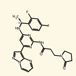 C[C@H](Nc1cc(-c2cnn3cccnc23)nc(NC(=O)CCN2CCCC2=O)n1)c1ccc(F)cc1F